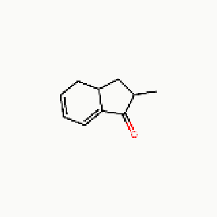 CC1CC2CC=CC=C2C1=O